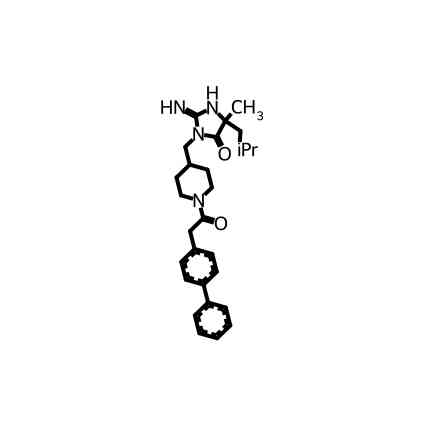 CC(C)CC1(C)NC(=N)N(CC2CCN(C(=O)Cc3ccc(-c4ccccc4)cc3)CC2)C1=O